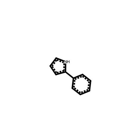 c1ccc(-c2ccc[nH]2)cc1